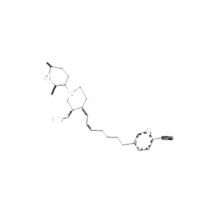 C#Cc1ccc(CCCC\C=C/C=C2/CCN(C3CCC(=C)NC3=C)C/C2=C\N)cn1